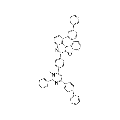 CN1C(c2ccc(-c3nc4cccc(-c5cccc(-c6ccccc6)c5)c4c4c3oc3ccccc34)cc2)=CC(C2=CCC(C)(c3ccccc3)C=C2)=NC1c1ccccc1